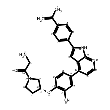 C=C(C)c1ccc(-c2cc3c(-c4ccc(O[C@@H]5CCN(C(=O)CN)C5)c(C#N)c4)ccnc3[nH]2)cc1